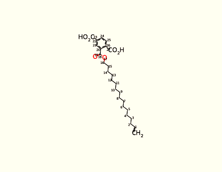 C=CCCCCCCCCCCCCCCCOC(=O)c1cc(C(=O)O)ccc1C(=O)O